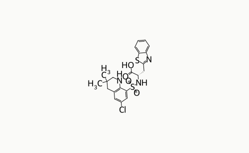 CC1(C)CNc2c(cc(Cl)cc2S(=O)(=O)N[C@@H](Cc2nc3ccccc3s2)C(=O)O)C1